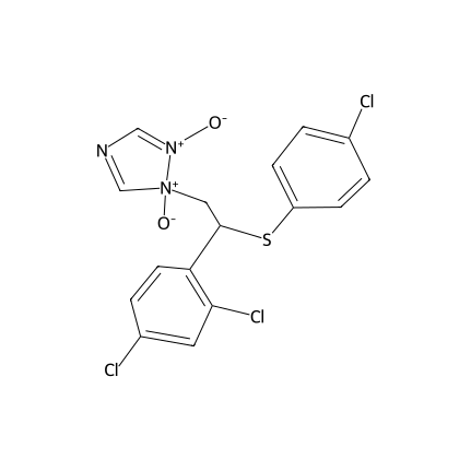 [O-][N+]1=CN=C[N+]1([O-])CC(Sc1ccc(Cl)cc1)c1ccc(Cl)cc1Cl